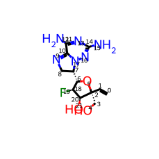 C=C[C@]1(CO)O[C@@H](C2CN=C3C(N)=NC(N)=NN32)[C@H](F)[C@@H]1O